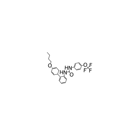 CCCCOC1=CCC(c2ccccc2NC(=O)Nc2ccc(OC(F)(F)F)cc2)C=C1